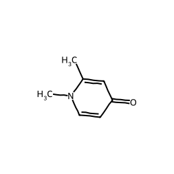 Cc1cc(=O)ccn1C